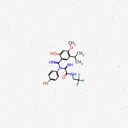 COc1cc(O)c(C(=N)N(C(=N)C(=O)NCC(F)(F)F)c2ccc(S)cc2)cc1C(C)C